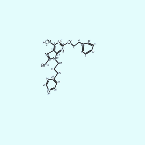 Nc1nc(OCCc2ccccc2)nc2c1nc(Br)n2CCCc1ccncc1